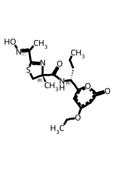 CCC[C@@H](NC(=O)[C@]1(C)CSC(/C(C)=N/O)=N1)c1cc(OCC)cc(=O)o1